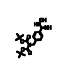 CC(C)(C)OC(=O)N(Cc1ccc(C(=N)NO)cc1)C(=O)OC(C)(C)C